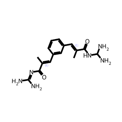 C/C(=C\c1cccc(/C=C(\C)C(=O)NC(N)N)c1)C(=O)N=C(N)N